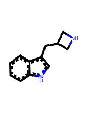 c1ccc2c(CC3CNC3)c[nH]c2c1